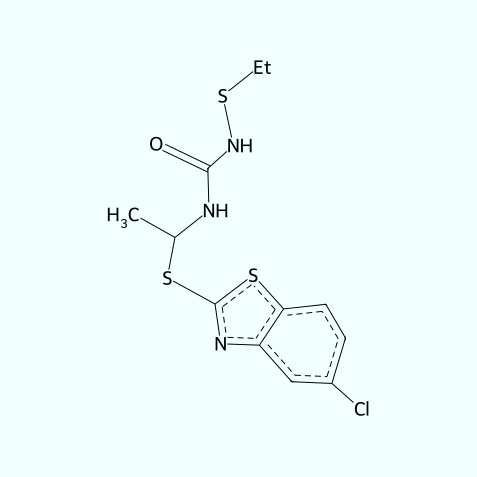 CCSNC(=O)NC(C)Sc1nc2cc(Cl)ccc2s1